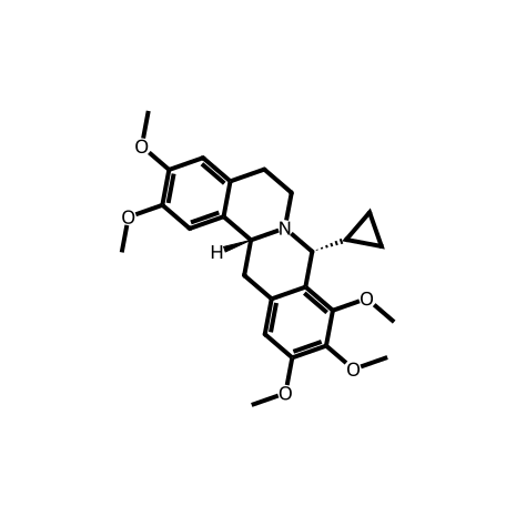 COc1cc2c(cc1OC)[C@H]1Cc3cc(OC)c(OC)c(OC)c3[C@@H](C3CC3)N1CC2